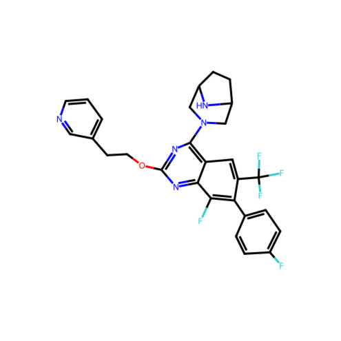 Fc1ccc(-c2c(C(F)(F)F)cc3c(N4CC5CCC(C4)N5)nc(OCCc4cccnc4)nc3c2F)cc1